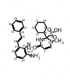 CN1C=CC(=O)NC1(C1CCCCC1)S(=O)(=O)O.Nc1cccc(C=Cc2ccccc2)c1N